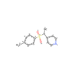 [C-]#[N+]C(c1ccncc1)S(=O)(=O)c1ccc(C)cc1